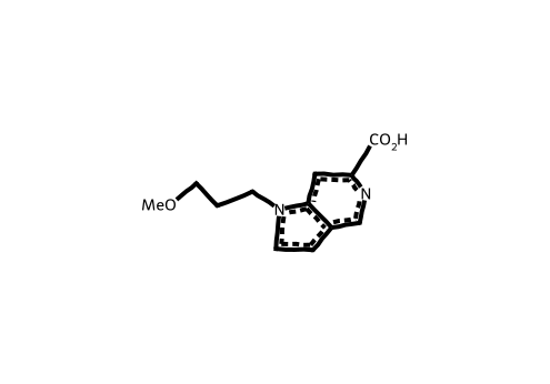 COCCCn1ccc2cnc(C(=O)O)cc21